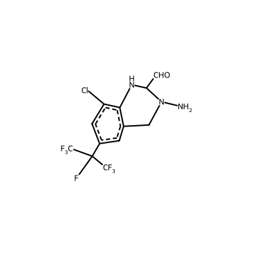 NN1Cc2cc(C(F)(C(F)(F)F)C(F)(F)F)cc(Cl)c2NC1C=O